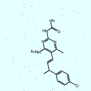 CCCC(=O)Nc1nc(C)c(C=CC(C)c2ccc(Cl)cc2)c(NC(C)=O)n1